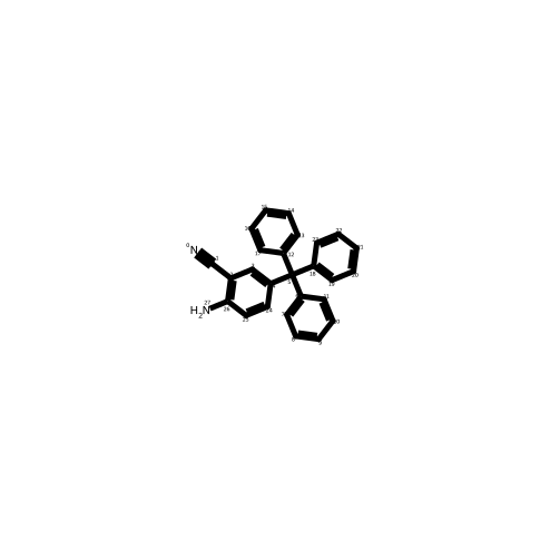 N#Cc1cc(C(c2ccccc2)(c2ccccc2)c2ccccc2)ccc1N